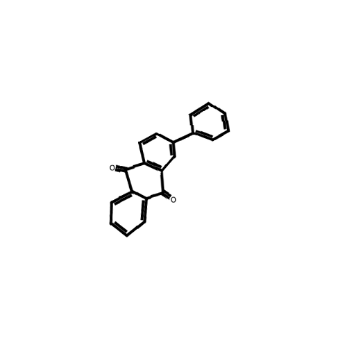 O=C1c2ccccc2C(=O)c2cc(-c3ccccc3)ccc21